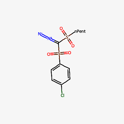 CCCCCS(=O)(=O)C(=[N+]=[N-])S(=O)(=O)c1ccc(Cl)cc1